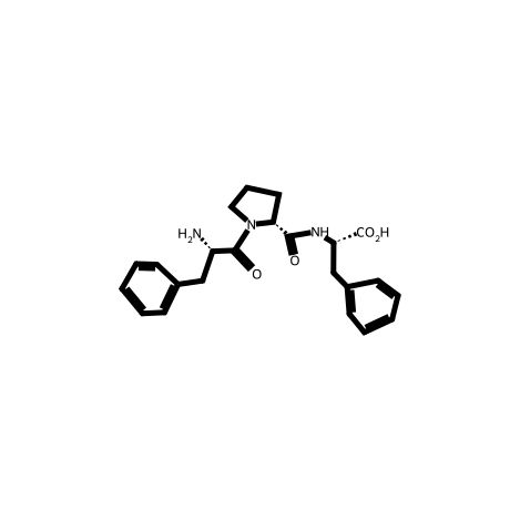 N[C@@H](Cc1ccccc1)C(=O)N1CCC[C@@H]1C(=O)N[C@@H](Cc1ccccc1)C(=O)O